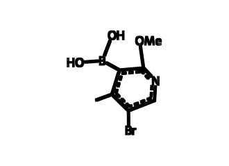 COc1ncc(Br)c(C)c1B(O)O